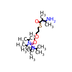 C/C(N)=C(/C)C(=O)SCCCOCOP(N(C(C)C)C(C)C)N(C(C)C)C(C)C